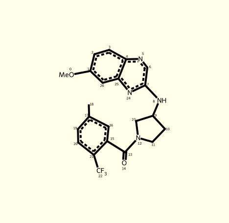 COc1ccc2ncc(NC3CCN(C(=O)c4cc(C)ccc4C(F)(F)F)C3)nc2c1